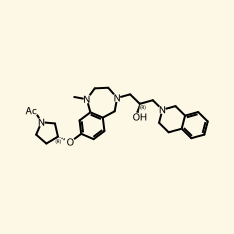 CC(=O)N1CC[C@@H](Oc2ccc3c(c2)N(C)CCN(C[C@H](O)CN2CCc4ccccc4C2)C3)C1